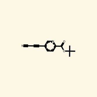 CC(C)(C)OC(=O)c1ccc(C#CC#N)cn1